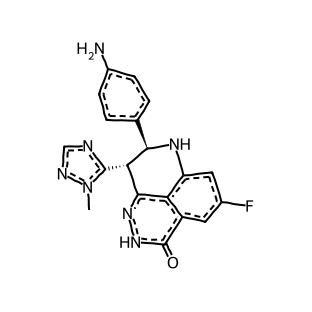 Cn1ncnc1[C@H]1c2n[nH]c(=O)c3cc(F)cc(c23)N[C@@H]1c1ccc(N)cc1